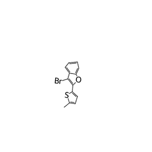 Cc1ccc(-c2oc3ccccc3c2Br)s1